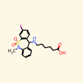 CN1c2ccccc2C(NCCCCCC(=O)O)c2ccc(I)cc2S1(=O)=O